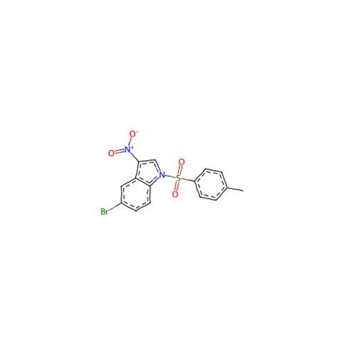 Cc1ccc(S(=O)(=O)n2cc([N+](=O)[O-])c3cc(Br)ccc32)cc1